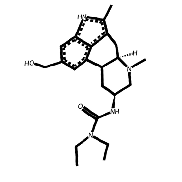 CCN(CC)C(=O)N[C@H]1CC2c3cc(CO)cc4[nH]c(C)c(c34)C[C@H]2N(C)C1